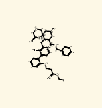 CCOC(=O)CCOc1ccccc1-c1cccc(CC2C(C(=O)OCc3ccccc3)C[C@H](C)CC23COCC(=O)N3)c1F